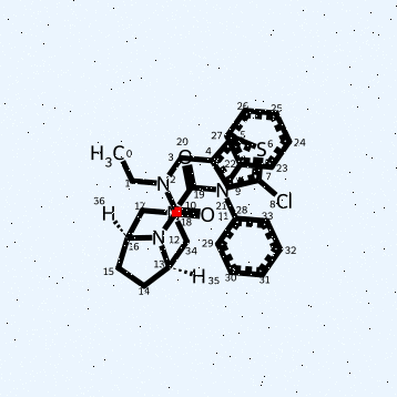 CCN(Cc1csc(Cl)c1)C(=O)N1[C@@H]2CC[C@H]1CN(C(=O)N(c1ccccc1)c1ccccc1)C2